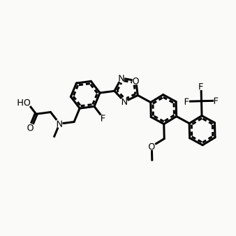 COCc1cc(-c2nc(-c3cccc(CN(C)CC(=O)O)c3F)no2)ccc1-c1ccccc1C(F)(F)F